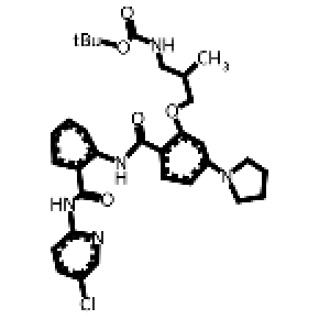 CC(CNC(=O)OC(C)(C)C)COc1cc(N2CCCC2)ccc1C(=O)Nc1ccccc1C(=O)Nc1ccc(Cl)cn1